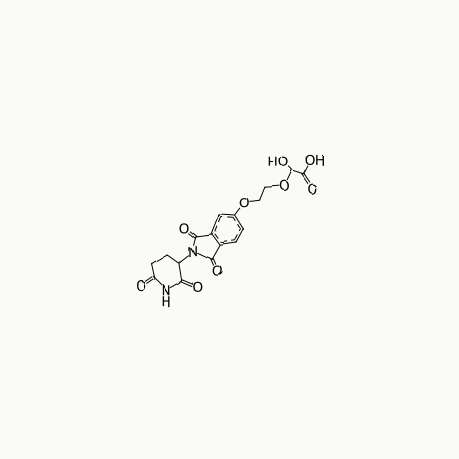 O=C1CCC(N2C(=O)c3ccc(OCCOC(O)C(=O)O)cc3C2=O)C(=O)N1